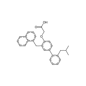 CC(C)Cc1ccccc1-c1ccc(OCC(=O)O)c(Cc2cccc3ccccc23)c1